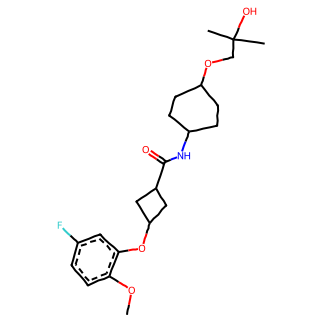 COc1ccc(F)cc1OC1CC(C(=O)NC2CCC(OCC(C)(C)O)CC2)C1